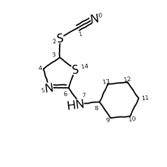 N#CSC1CN=C(NC2CCCCC2)S1